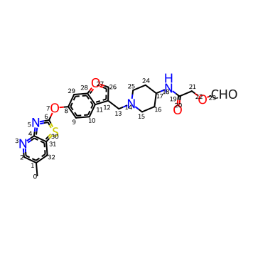 Cc1cnc2nc(Oc3ccc4c(CN5CCC(NC(=O)COC=O)CC5)coc4c3)sc2c1